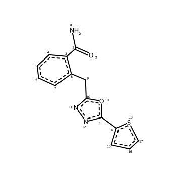 NC(=O)c1ccccc1Cc1nnc(-c2cccs2)o1